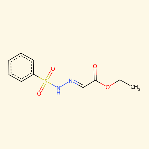 CCOC(=O)/C=N/NS(=O)(=O)c1ccccc1